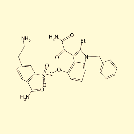 CCc1c(C(=O)C(N)=O)c2c(OCS(=O)(=O)c3cc(CCN)ccc3C(N)=O)cccc2n1Cc1ccccc1